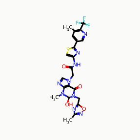 Cc1noc(CN2C(=O)c3c(ncn3CC(=O)Nc3csc(-c4cnc(C(F)(F)F)c(C)c4)n3)N(C)C2O)n1